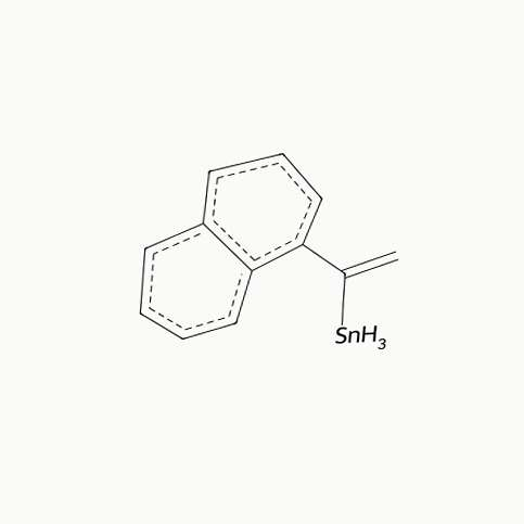 C=[C]([SnH3])c1cccc2ccccc12